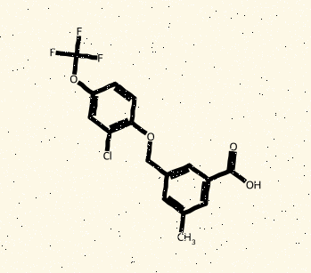 Cc1cc(COc2ccc(OC(F)(F)F)cc2Cl)cc(C(=O)O)c1